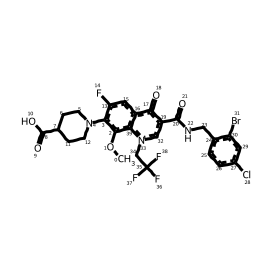 COc1c(N2CCC(C(=O)O)CC2)c(F)cc2c(=O)c(C(=O)NCc3ccc(Cl)cc3Br)cn(CC(F)(F)F)c12